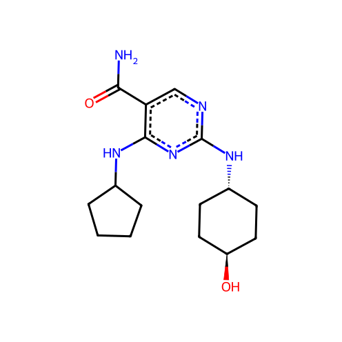 NC(=O)c1cnc(N[C@H]2CC[C@H](O)CC2)nc1NC1CCCC1